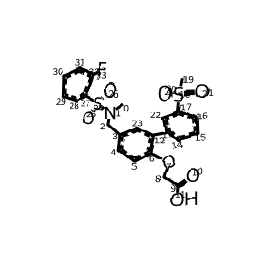 CN(Cc1ccc(OCC(=O)O)c(-c2cccc(S(C)(=O)=O)c2)c1)S(=O)(=O)c1ccccc1F